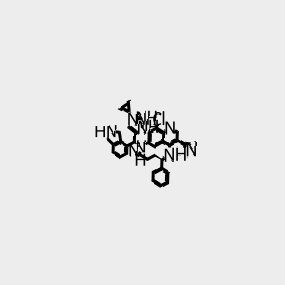 N#CCC[C@@H](Nc1c(C#N)cnc2c(Cl)cc(N[C@H](C3=CN(C4CC4)NN3)c3cccc4c3CNC4)cc12)c1ccccc1